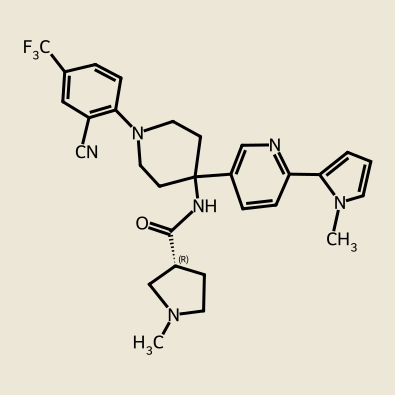 CN1CC[C@@H](C(=O)NC2(c3ccc(-c4cccn4C)nc3)CCN(c3ccc(C(F)(F)F)cc3C#N)CC2)C1